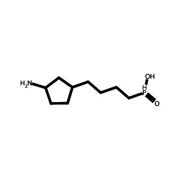 NC1CCC(CCCC[PH](=O)O)C1